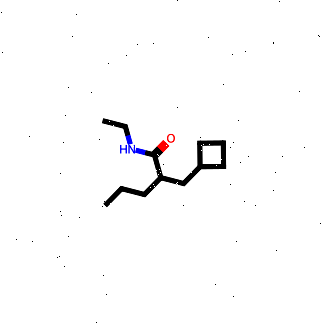 CCCC(CC1CCC1)C(=O)NCC